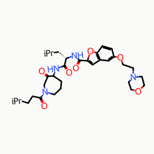 CC(C)CCC(=O)N1CCCC(NC(=O)[C@H](CC(C)C)NC(=O)c2cc3cc(OCCN4CCOCC4)ccc3o2)C(=O)C1